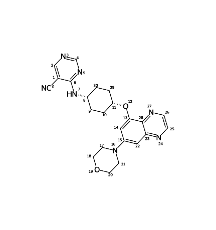 N#Cc1cncnc1N[C@H]1CC[C@@H](Oc2cc(N3CCOCC3)cc3nccnc23)CC1